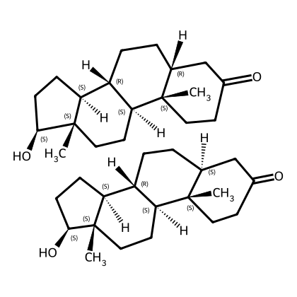 C[C@]12CCC(=O)C[C@@H]1CC[C@@H]1[C@@H]2CC[C@]2(C)[C@@H](O)CC[C@@H]12.C[C@]12CCC(=O)C[C@H]1CC[C@@H]1[C@@H]2CC[C@]2(C)[C@@H](O)CC[C@@H]12